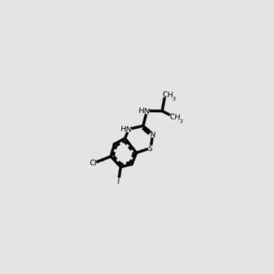 CC(C)NC1=NSc2cc(I)c(Cl)cc2N1